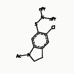 CCCN(CCC)Sc1cc2c(cc1Cl)CCN2C(C)=O